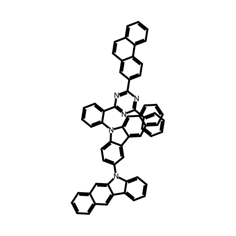 c1ccc(-c2nc(-c3ccc4c(ccc5ccccc54)c3)nc(-c3ccccc3-n3c4ccc(-n5c6ccccc6c6cc7ccccc7cc65)cc4c4cc5ccccc5cc43)n2)cc1